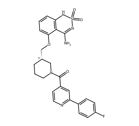 NC1=NS(=O)(=O)Nc2cccc(OC[C@H]3CCCN(C(=O)c4ccnc(-c5ccc(F)cc5)c4)C3)c21